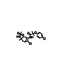 CCC1C2CC(CC(C)(NS(C)(=O)=O)C2)C1NC(=O)C(C)(C)Oc1ccc(Cl)cc1